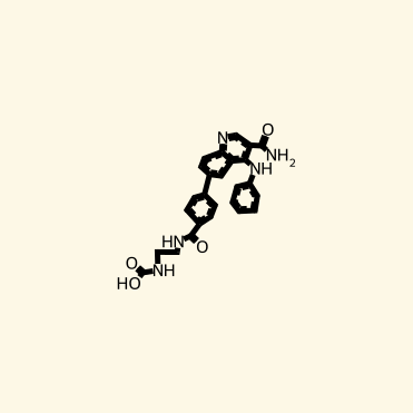 NC(=O)c1cnc2ccc(-c3ccc(C(=O)NCCNC(=O)O)cc3)cc2c1Nc1ccccc1